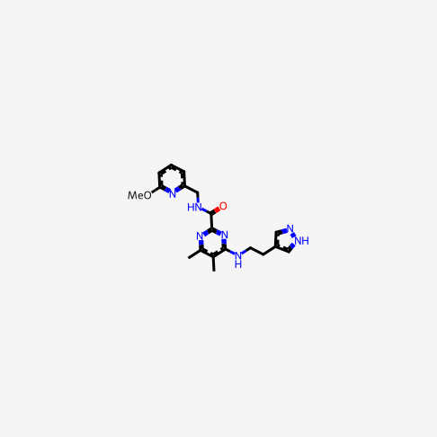 COc1cccc(CNC(=O)c2nc(C)c(C)c(NCCc3cn[nH]c3)n2)n1